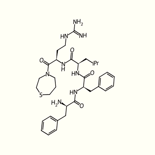 CC(C)C[C@@H](NC(=O)[C@@H](Cc1ccccc1)NC(=O)[C@H](N)Cc1ccccc1)C(=O)N[C@H](CCNC(=N)N)C(=O)N1CCCSCC1